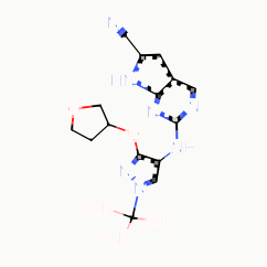 BC(B)(B)n1cc(Nc2ncc3cc(C#N)[nH]c3n2)c(OC2CCOC2)n1